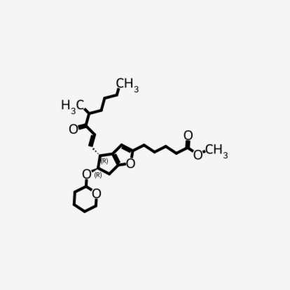 CCCCC(C)C(=O)C=C[C@@H]1c2cc(CCCCC(=O)OC)oc2C[C@H]1OC1CCCCO1